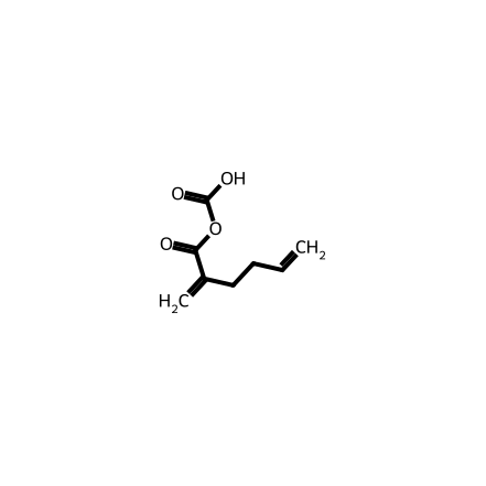 C=CCCC(=C)C(=O)OC(=O)O